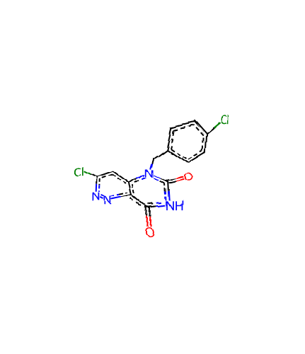 O=c1[nH]c(=O)n(Cc2ccc(Cl)cc2)c2cc(Cl)nnc12